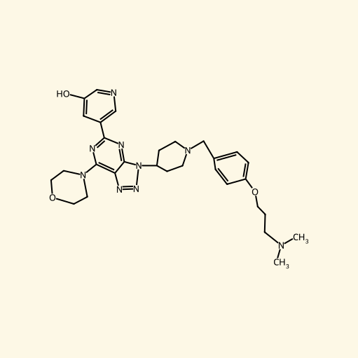 CN(C)CCCOc1ccc(CN2CCC(n3nnc4c(N5CCOCC5)nc(-c5cncc(O)c5)nc43)CC2)cc1